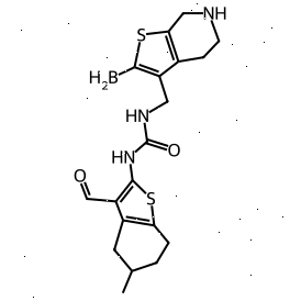 Bc1sc2c(c1CNC(=O)Nc1sc3c(c1C=O)CC(C)CC3)CCNC2